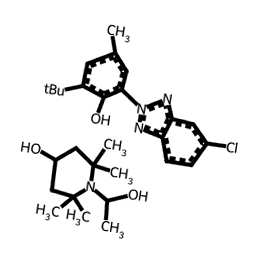 CC(O)N1C(C)(C)CC(O)CC1(C)C.Cc1cc(-n2nc3ccc(Cl)cc3n2)c(O)c(C(C)(C)C)c1